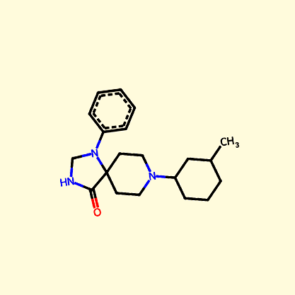 CC1CCCC(N2CCC3(CC2)C(=O)NCN3c2ccccc2)C1